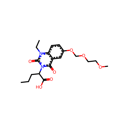 CCCC(C(=O)O)n1c(=O)c2cc(OCOCCOC)ccc2n(CC)c1=O